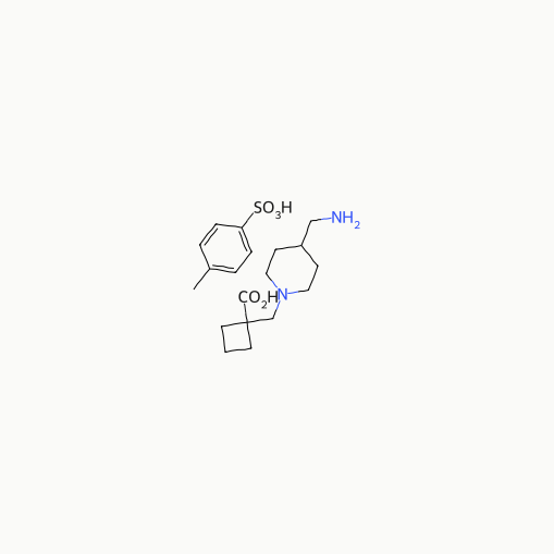 Cc1ccc(S(=O)(=O)O)cc1.NCC1CCN(CC2(C(=O)O)CCC2)CC1